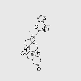 C[C@H](NC(=O)C[C@@H](C)C1CC[C@H]2C3C(=O)CC4CC(=O)CCC4(C)[C@H]3CCC12C)c1cccs1